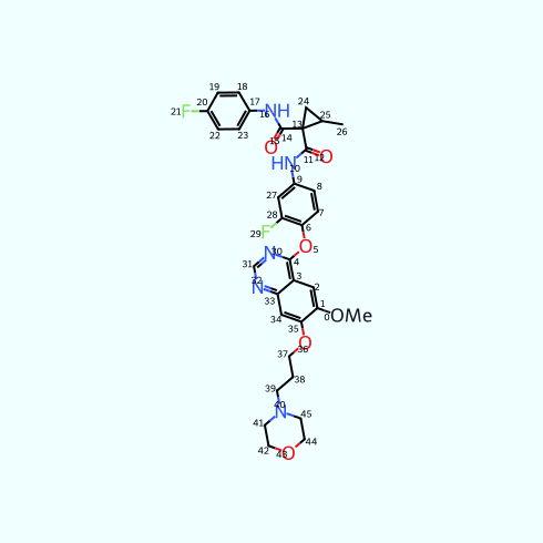 COc1cc2c(Oc3ccc(NC(=O)C4(C(=O)Nc5ccc(F)cc5)CC4C)cc3F)ncnc2cc1OCCCN1CCOCC1